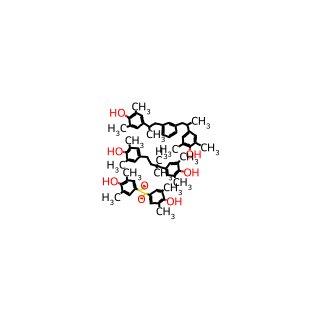 Cc1cc(C(C)Cc2cccc(CC(C)c3cc(C)c(O)c(C)c3)c2)cc(C)c1O.Cc1cc(CCC(C)(C)c2cc(C)c(O)c(C)c2)cc(C)c1O.Cc1cc(S(=O)(=O)c2cc(C)c(O)c(C)c2)cc(C)c1O